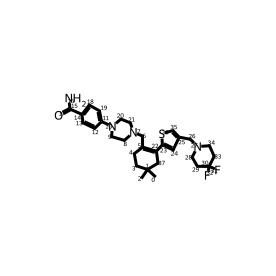 CC1(C)CCC(CN2CCN(c3ccc(C(N)=O)cc3)CC2)=C(c2cc(CN3CCC(F)(F)CC3)cs2)C1